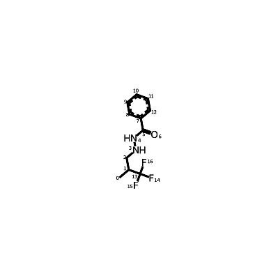 CC(CNNC(=O)c1ccccc1)C(F)(F)F